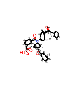 O=C(O)c1cccc(C(=O)N(c2ccc(C(=O)c3ccccc3)cc2)c2ccc(C(=O)c3ccccc3)cc2)c1